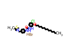 Br.CCCCCCCCCCCCCCOc1cc(NC(=O)Nc2ccc(CN3C=C(C)SC3)cc2)ccc1Cl